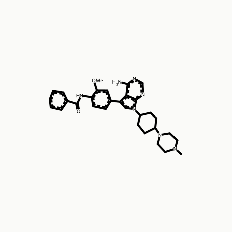 COc1cc(-c2cn(C3CCC(N4CCN(C)CC4)CC3)c3ncnc(N)c23)ccc1NC(=O)c1ccccc1